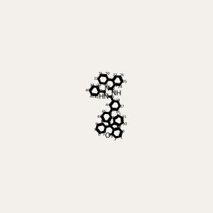 C1=CCC2OC3C=CC=CC3C(C3=CC(C4=CCCC(C5NC(c6ccccc6C6C=CCCC6)=NC(c6ccccc6)N5)=C4)CC=C3)(c3ccccc3)C2=C1